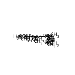 CC(=O)NC(CCCCCCCC(CCCCCCO[SiH](C)C)C(C)(C)C)(COC(C)=O)COC(C)=O